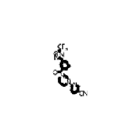 N#Cc1ccc(N2CCCN(C(=O)c3cccc(-c4noc(C(F)(F)F)n4)c3)CC2)nc1